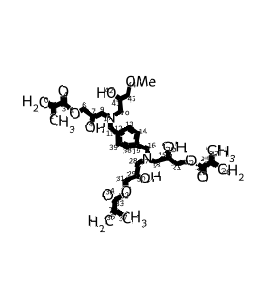 C=C(C)C(=O)OCC(O)CN(Cc1ccc(CN(CC(O)COC(=O)C(=C)C)CC(O)COC(=O)C(=C)C)cc1)CC(O)COC